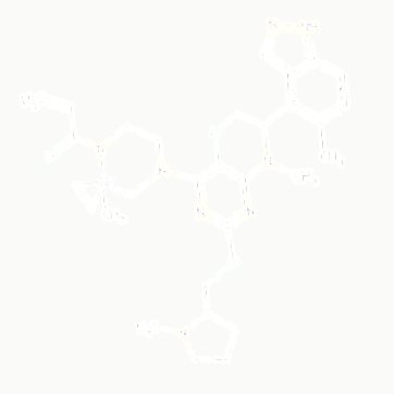 C=CC(=O)N1CCN(c2nc(OCC3CCCN3C)nc3c2OCC(c2c(C)ccc4[nH]ncc24)N3C)C[SH]12(C)C=C2